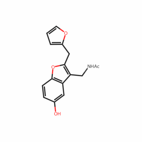 CC(=O)NCc1c(Cc2ccco2)oc2ccc(O)cc12